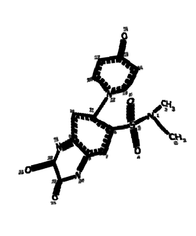 CN(C)S(=O)(=O)c1cc2c(cc1-n1ccc(=O)cc1)=NC(=O)C(=O)N=2